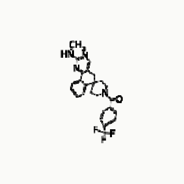 CNc1ncc2c(n1)-c1ccccc1C1(CCN(C(=O)c3ccc(C(F)(F)F)cc3)CC1)C2